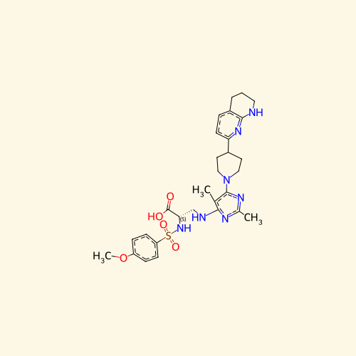 COc1ccc(S(=O)(=O)N[C@@H](CNc2nc(C)nc(N3CCC(c4ccc5c(n4)NCCC5)CC3)c2C)C(=O)O)cc1